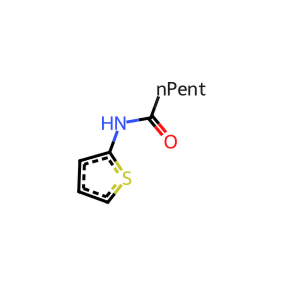 CCCCCC(=O)Nc1cccs1